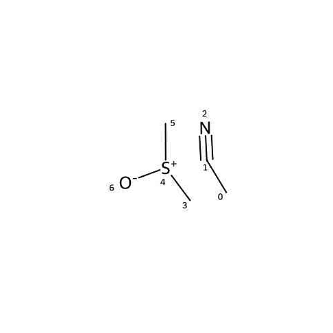 CC#N.C[S+](C)[O-]